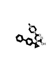 CN1CCN(C(=O)CN(C(=O)O)C2(c3ccc(-c4ccccc4)cc3)CC2)CC1